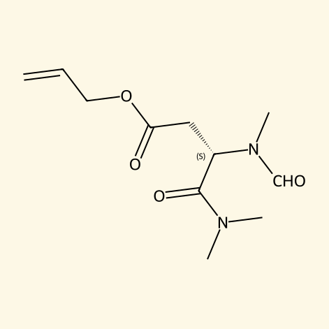 C=CCOC(=O)C[C@@H](C(=O)N(C)C)N(C)C=O